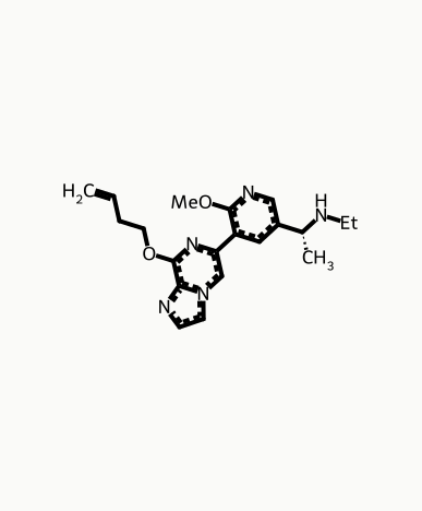 C=CCCOc1nc(-c2cc([C@@H](C)NCC)cnc2OC)cn2ccnc12